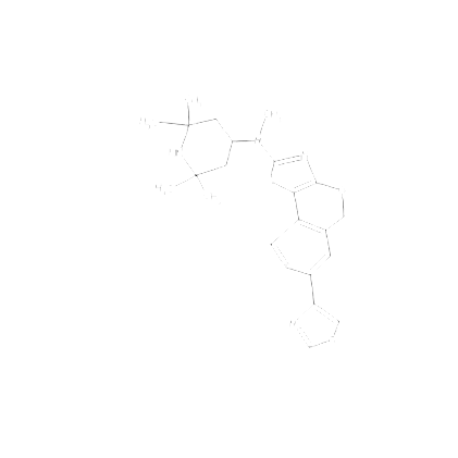 CN(c1nc2c(s1)-c1ccc(-c3cocn3)cc1CO2)C1CC(C)(C)NC(C)(C)C1